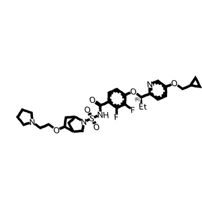 CC[C@@H](Oc1ccc(C(=O)NS(=O)(=O)N2CC3CC2CC3OCCN2CCCC2)c(F)c1F)c1ccc(OCC2CC2)cn1